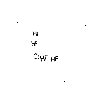 F.F.F.I.[C]